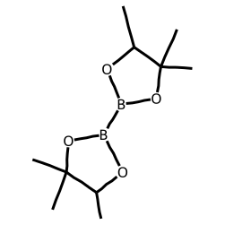 CC1OB(B2OC(C)C(C)(C)O2)OC1(C)C